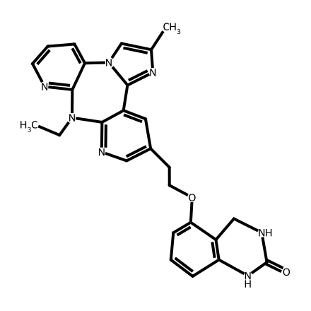 CCN1c2ncc(CCOc3cccc4c3CNC(=O)N4)cc2-c2nc(C)cn2-c2cccnc21